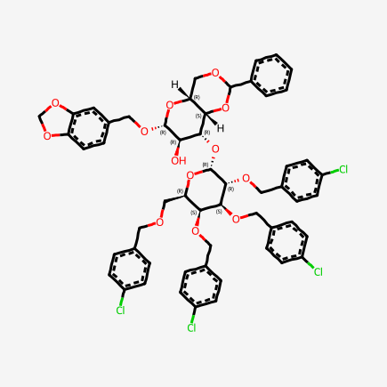 O[C@H]1[C@H](OCc2ccc3c(c2)OCO3)O[C@@H]2COC(c3ccccc3)O[C@@H]2[C@@H]1O[C@H]1O[C@H](COCc2ccc(Cl)cc2)[C@H](OCc2ccc(Cl)cc2)[C@H](OCc2ccc(Cl)cc2)[C@H]1OCc1ccc(Cl)cc1